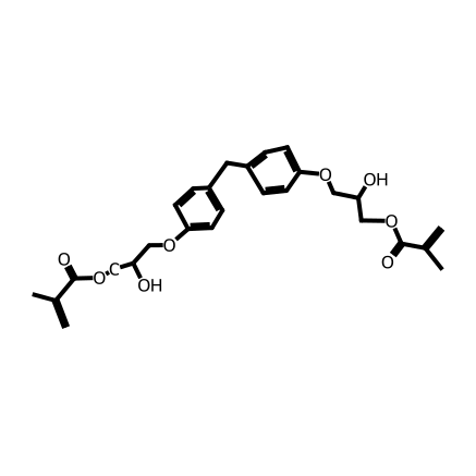 C=C(C)C(=O)OCC(O)COc1ccc(Cc2ccc(OCC(O)COC(=O)C(=C)C)cc2)cc1